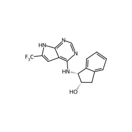 O[C@H]1Cc2ccccc2[C@H]1Nc1ncnc2[nH]c(C(F)(F)F)cc12